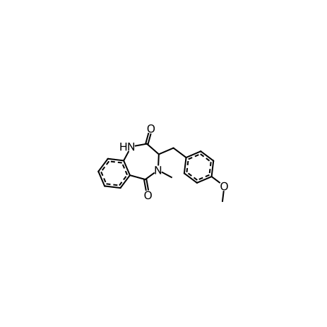 COc1ccc(CC2C(=O)Nc3ccccc3C(=O)N2C)cc1